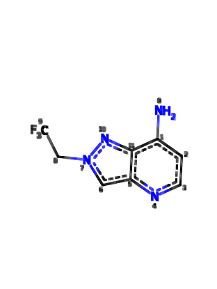 Nc1ccnc2cn(CC(F)(F)F)nc12